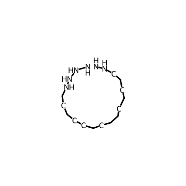 C1CCCCCCCNNNNNNCCCCCC1